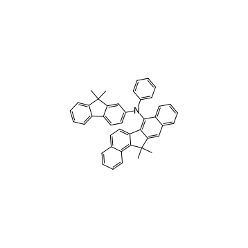 CC1(C)c2ccccc2-c2ccc(N(c3ccccc3)c3c4c(cc5ccccc35)C(C)(C)c3c-4ccc4ccccc34)cc21